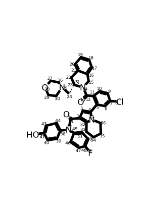 O=C(c1cc(-c2cc(Cl)ccc2C(=O)N2Cc3ccccc3C[C@H]2CN2CCOCC2)n2c1CCCC2)N(c1ccc(O)cc1)c1ccc(F)cc1